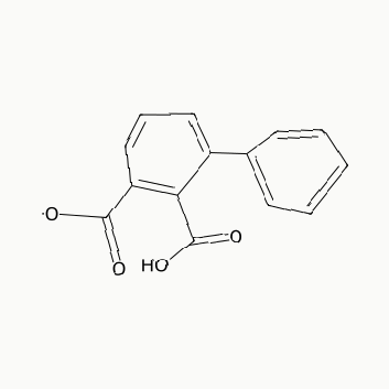 [O]C(=O)c1cccc(-c2ccccc2)c1C(=O)O